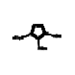 CCCCCCCC[n+]1ccn(CCCCCCC)c1CCCCCC